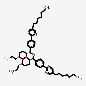 CCCCCCCc1cnc(-c2ccc(C(OC(c3ccc(-c4ncc(CCCCCCC)cn4)cc3)[C@H]3CC[C@H](CCC)CC3)[C@H]3CC[C@H](CCC)CC3)cc2)nc1